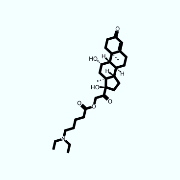 CCN(CC)CCCCC(=O)OCC(=O)[C@@]1(O)CC[C@H]2[C@@H]3CCC4=CC(=O)CC[C@]4(C)[C@H]3[C@@H](O)C[C@@]21C